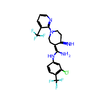 N=C1CCN(c2ncccc2C(F)(F)F)CC/C1=C(/N)Nc1ccc(C(F)(F)F)c(Cl)c1